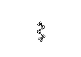 C1=Cc2c(c3ccccc3n2-c2ccc3oc4c(c3c2)C=C(c2ccc3oc5ccc(-c6ccc7oc8c(c7c6)C=C(n6c7ccccc7c7ccccc76)CC8)cc5c3c2)CC4)CC1